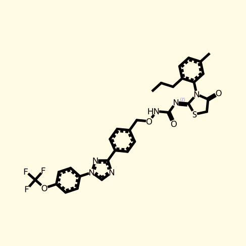 CCCc1ccc(C)cc1N1C(=O)CS/C1=N\C(=O)NOCc1ccc(-c2ncn(-c3ccc(OC(F)(F)F)cc3)n2)cc1